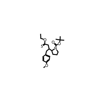 CCOC(=S)CC(Cc1ccc(OC)cc1)C1CCCN1C(=O)OC(C)(C)C